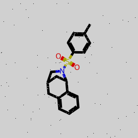 Cc1ccc(S(=O)(=O)N2CC3Cc4ccccc4C2C3)cc1